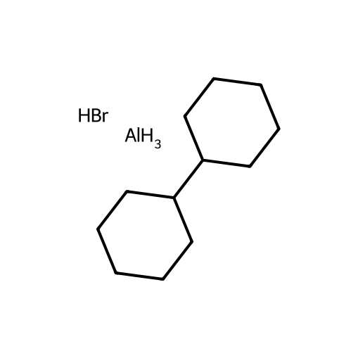 Br.C1CCC(C2CCCCC2)CC1.[AlH3]